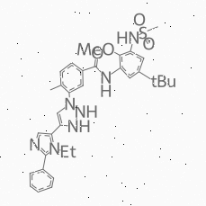 CCn1c(C2=CN(c3cc(C(=O)Nc4cc(C(C)(C)C)cc(NS(C)(=O)=O)c4OC)ccc3C)NN2)cnc1-c1ccccc1